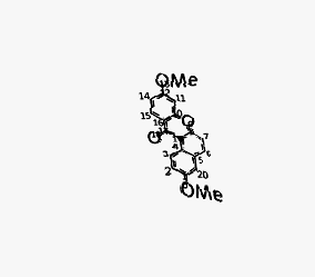 COc1ccc2c(ccc3oc4cc(OC)ccc4c(=O)c32)c1